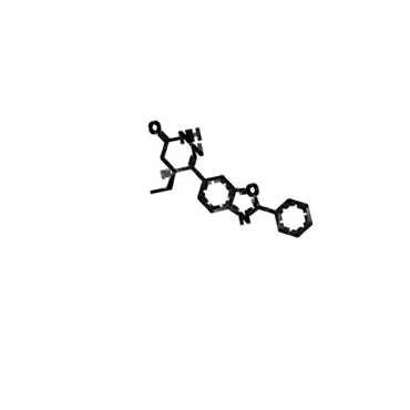 CC[C@H]1CC(=O)NN=C1c1ccc2nc(-c3ccccc3)oc2c1